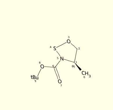 C[C@@H]1COSN1C(=O)OC(C)(C)C